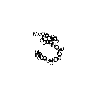 COc1ccc(C(N)=O)c(-c2c(Cl)c(F)cc3c2[C@H](C)[C@@](CNC2CCC(C(=O)N4CCC(OC5CCN(C(=O)COc6ccc(N7CCC(=O)NC7=O)c(C)c6)CC5)CC4)CC2)(c2ccccc2)O3)c1F